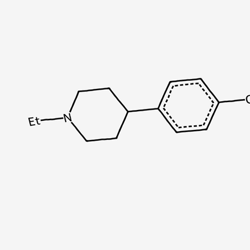 CCN1CCC(c2ccc(C(F)(F)F)cc2)CC1